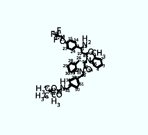 Cc1ccccc1N(C(=O)CC(N)c1ccc(OCC(F)(F)F)cc1)[C@@H](Cc1ccccc1)C(=O)NCc1ccc(CNC(=O)OC(C)(C)C)cc1